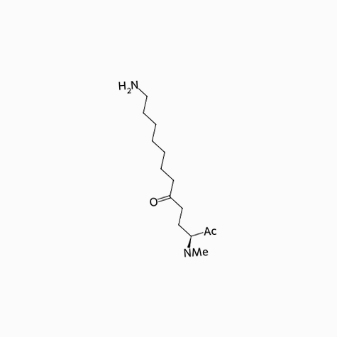 CN[C@@H](CCC(=O)CCCCCCCN)C(C)=O